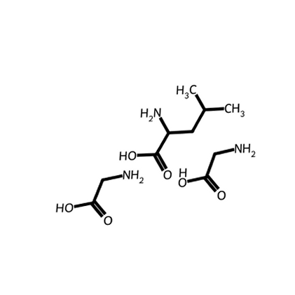 CC(C)CC(N)C(=O)O.NCC(=O)O.NCC(=O)O